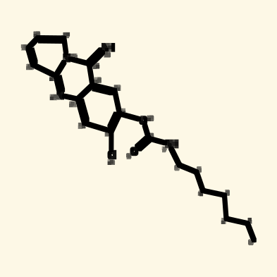 CCCCCCCNC(=O)Oc1cc2c(=N)n3ccccc3nc2cc1Cl